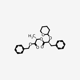 C[C@H](OC(=O)[C@H](Cc1ccccc1)OC1CCCCO1)C(=O)OCc1ccccc1